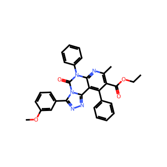 CCOC(=O)c1c(C)nc2c(c1-c1ccccc1)c1nnc(-c3cccc(OC)c3)n1c(=O)n2-c1ccccc1